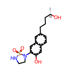 C[C@H](O)CCCc1ccc2cc(O)c(N3CCNS3(=O)=O)cc2c1